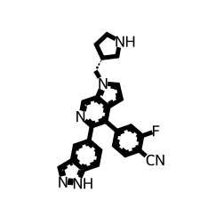 N#Cc1ccc(-c2c(-c3ccc4[nH]ncc4c3)ncc3c2ccn3C[C@@H]2CCNC2)cc1F